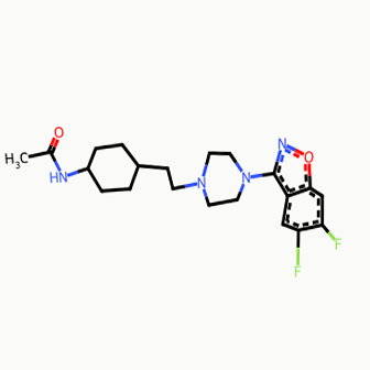 CC(=O)NC1CCC(CCN2CCN(c3noc4cc(F)c(F)cc34)CC2)CC1